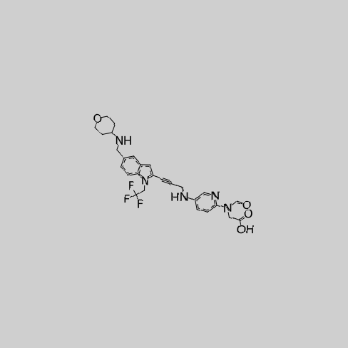 O=CN(CC(=O)O)c1ccc(NCC#Cc2cc3cc(CNC4CCOCC4)ccc3n2CC(F)(F)F)cn1